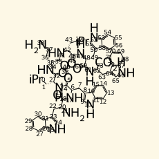 CC(C)C[C@@H](NC(=O)[C@@H](Cc1c[nH]c2ccccc12)NC(=O)[C@H](N)Cc1c[nH]c2ccccc12)C(=O)N[C@H](CCN)C(=O)N[C@H](CC(C)C)C(=O)N[C@H](Cc1c[nH]c2ccccc12)C(=O)N[C@H](Cc1c[nH]c2ccccc12)C(=O)O